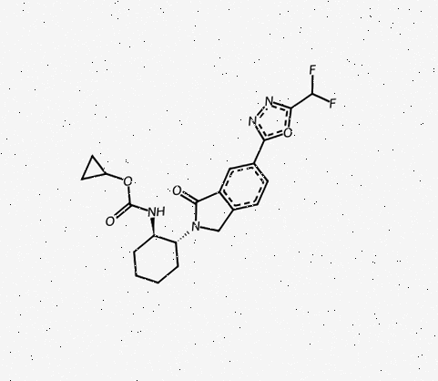 O=C(N[C@@H]1CCCC[C@H]1N1Cc2ccc(-c3nnc(C(F)F)o3)cc2C1=O)OC1CC1